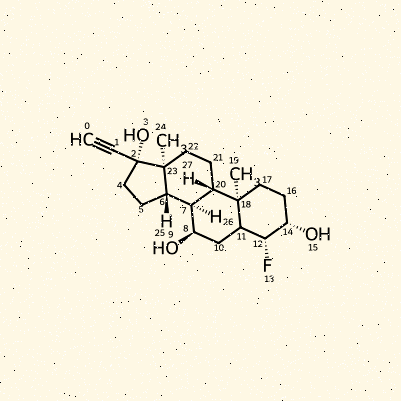 C#C[C@]1(O)CC[C@H]2[C@@H]3[C@H](O)CC4[C@@H](F)[C@@H](O)CC[C@]4(C)[C@H]3CC[C@@]21C